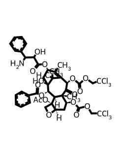 CC(=O)O[C@@]12CO[C@@H]1C[C@H](OC(=O)OCC(Cl)(Cl)Cl)[C@@]1(C)C(=O)[C@H](OC(=O)OCC(Cl)(Cl)Cl)C3=C(C)[C@@H](OC(=O)C(O)C(N)c4ccccc4)C[C@@](O)([C@@H](OC(=O)c4ccccc4)[C@H]21)C3(C)C